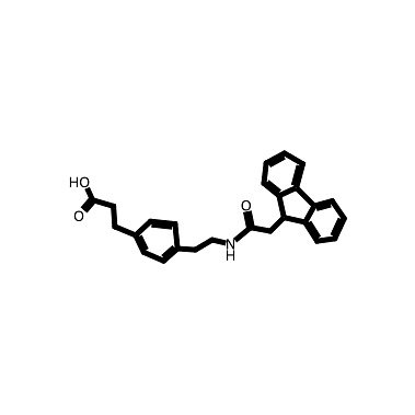 O=C(O)CCc1ccc(CCNC(=O)CC2c3ccccc3-c3ccccc32)cc1